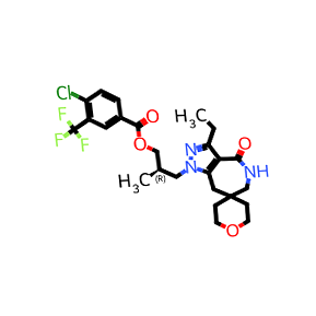 CCc1nn(C[C@@H](C)COC(=O)c2ccc(Cl)c(C(F)(F)F)c2)c2c1C(=O)NCC1(CCOCC1)C2